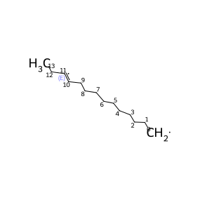 [CH2]CCCCCCCCC/C=[C]/CC